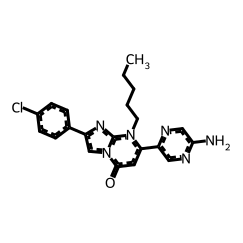 CCCCCn1c(-c2cnc(N)cn2)cc(=O)n2cc(-c3ccc(Cl)cc3)nc12